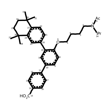 CC(=O)N(CCCCOc1ccc(-c2ccc(C(=O)O)cc2)cc1-c1ccc2c(c1)C(C)(C)CCC2(C)C)C(C)C